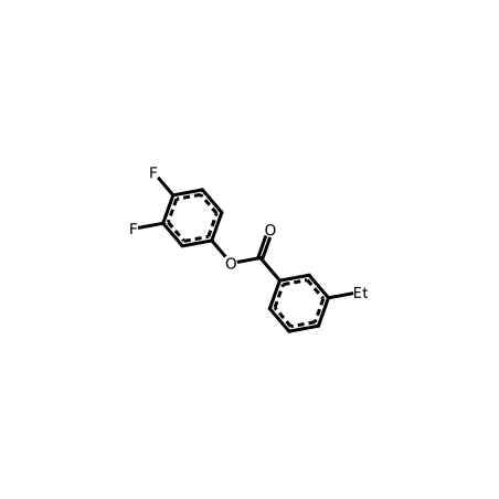 CCc1cccc(C(=O)Oc2ccc(F)c(F)c2)c1